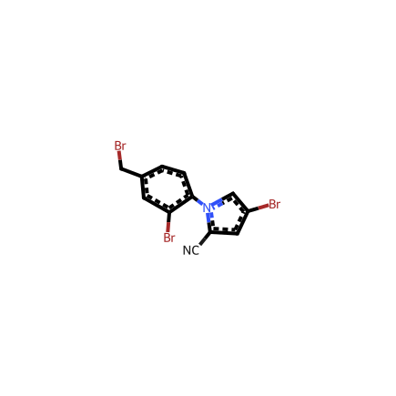 N#Cc1cc(Br)cn1-c1ccc(CBr)cc1Br